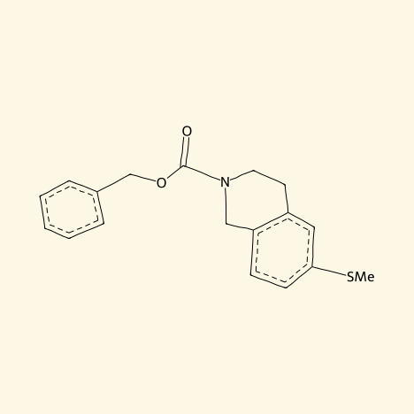 CSc1ccc2c(c1)CCN(C(=O)OCc1ccccc1)C2